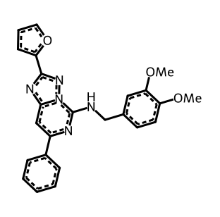 COc1ccc(CNc2nc(-c3ccccc3)cc3nc(-c4ccco4)nn23)cc1OC